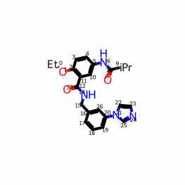 CCOc1ccc(NC(=O)C(C)C)cc1C(=O)NCc1cccc(-n2ccnc2)c1